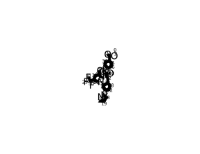 COC(=O)c1ccc(S(=O)(=O)N(Cc2ccc(-n3cccn3)cc2)c2ncc(C(F)(F)F)cc2Cl)cc1